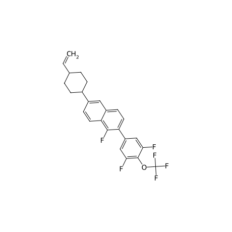 C=CC1CCC(c2ccc3c(F)c(-c4cc(F)c(OC(F)(F)F)c(F)c4)ccc3c2)CC1